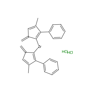 C=C1C=C(C)C(c2ccccc2)=[C]1[Zr][C]1=C(c2ccccc2)C(C)=CC1=C.Cl.Cl